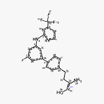 Cc1cc(Nc2nccc(C(F)(F)F)n2)cc(-c2ccc(CC/C(N)=N\O)nc2)c1